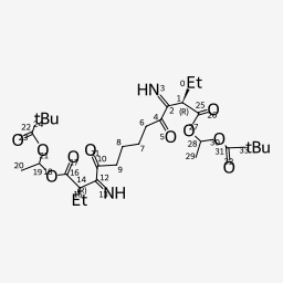 CC[C@H](C(=N)C(=O)CCCCC(=O)C(=N)[C@@H](CC)C(=O)OC(C)OC(=O)C(C)(C)C)C(=O)OC(C)OC(=O)C(C)(C)C